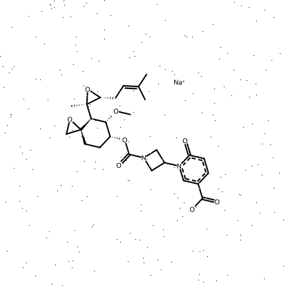 CO[C@@H]1[C@H](OC(=O)N2CC(n3cc(C(=O)[O-])ccc3=O)C2)CC[C@]2(CO2)[C@H]1[C@@]1(C)O[C@@H]1CC=C(C)C.[Na+]